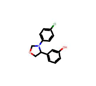 Oc1cccc(C2COCN2c2ccc(Cl)cc2)c1